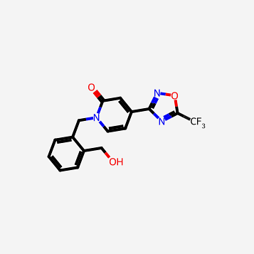 O=c1cc(-c2noc(C(F)(F)F)n2)ccn1Cc1ccccc1CO